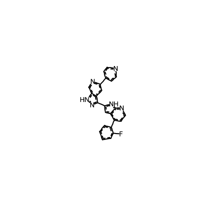 Fc1ccccc1-c1ccnc2[nH]c(-c3n[nH]c4cnc(-c5ccncc5)cc34)cc12